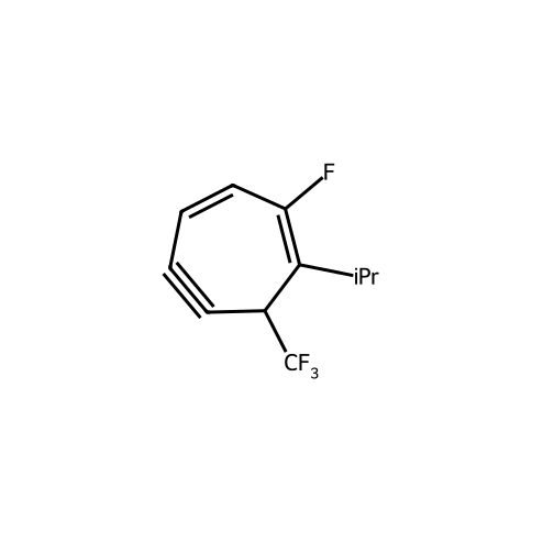 CC(C)C1=C(F)C=CC#CC1C(F)(F)F